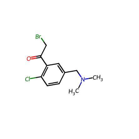 CN(C)Cc1ccc(Cl)c(C(=O)CBr)c1